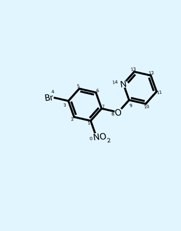 O=[N+]([O-])c1cc(Br)ccc1Oc1ccccn1